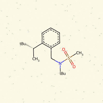 C[C@@H](c1ccccc1CN(C(C)(C)C)S(C)(=O)=O)C(C)(C)C